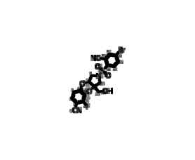 N#Cc1ccc(O[C@H]2CN(S(=O)(=O)c3ccc(Br)cc3C#N)C[C@]2(O)CO)cc1F